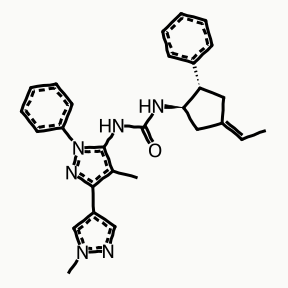 CC=C1C[C@@H](NC(=O)Nc2c(C)c(-c3cnn(C)c3)nn2-c2ccccc2)[C@H](c2ccccc2)C1